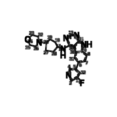 Fc1cncc(-c2ccc3[nH]c4ncnc(NC5CCC(N6CCOCC6)CC5)c4c3c2)c1